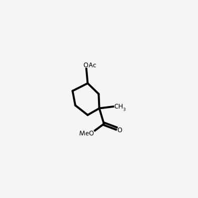 COC(=O)C1(C)CCCC(OC(C)=O)C1